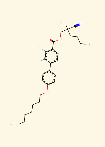 CCCCCCCOc1ccc(-c2ccc(C(=O)OCC(C)(C#N)CCCC)c(F)c2F)cc1